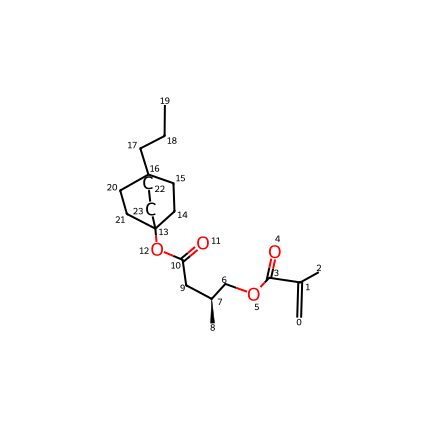 C=C(C)C(=O)OC[C@@H](C)CC(=O)OC12CCC(CCC)(CC1)CC2